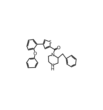 O=C(c1cc(-c2ccccc2Oc2ccccc2)cs1)N1CCNCC1Cc1ccccc1